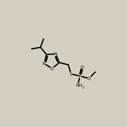 COP(N)(=O)SCc1nc(C(C)C)no1